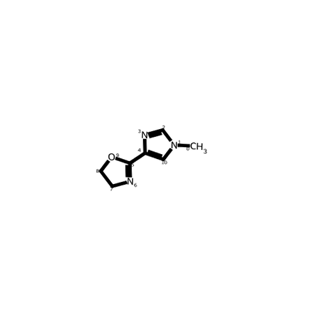 Cn1cnc(C2=NCCO2)c1